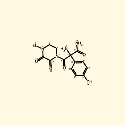 CCN1CCN(C(=O)C(N)(C(N)=O)c2ccc(O)cc2)C(=O)C1=O